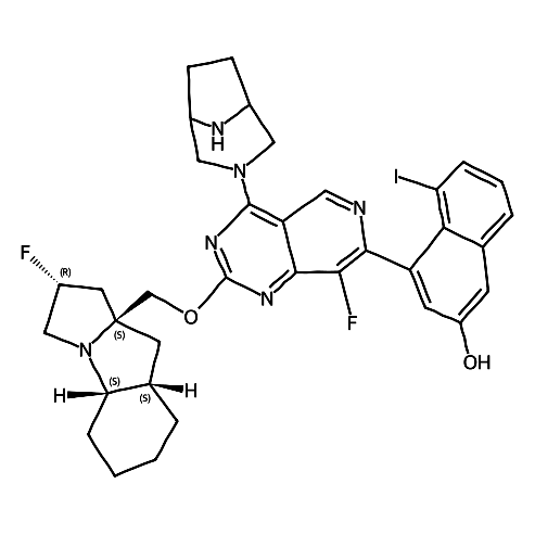 Oc1cc(-c2ncc3c(N4CC5CCC(C4)N5)nc(OC[C@]45C[C@@H](F)CN4[C@H]4CCCC[C@H]4C5)nc3c2F)c2c(I)cccc2c1